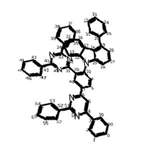 c1ccc(-c2cc(-c3ccc(-n4c5ccccc5c5c(-c6ccccc6)cccc54)c(-c4nc(-c5ccccc5)nc(-c5ccccc5)n4)c3)nc(-c3ccccc3)n2)cc1